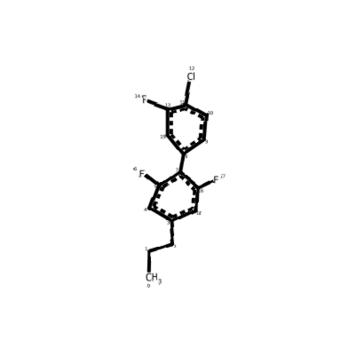 CCCc1cc(F)c(-c2ccc(Cl)c(F)c2)c(F)c1